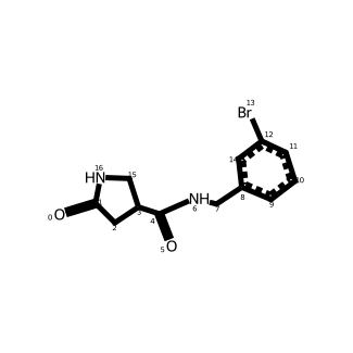 O=C1CC(C(=O)NCc2cccc(Br)c2)CN1